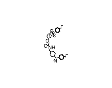 CN(C)C(c1ccc(F)cc1)C1CCC(CNC(=O)COC2CCN(S(=O)(=O)c3ccc(F)cc3)C2)CC1